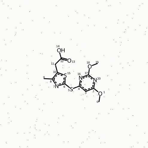 COc1cc(Sc2nc(C)c(CC(=O)O)s2)nc(OC)n1